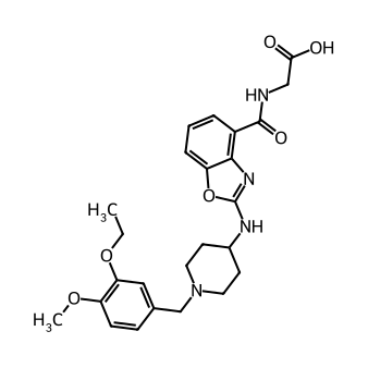 CCOc1cc(CN2CCC(Nc3nc4c(C(=O)NCC(=O)O)cccc4o3)CC2)ccc1OC